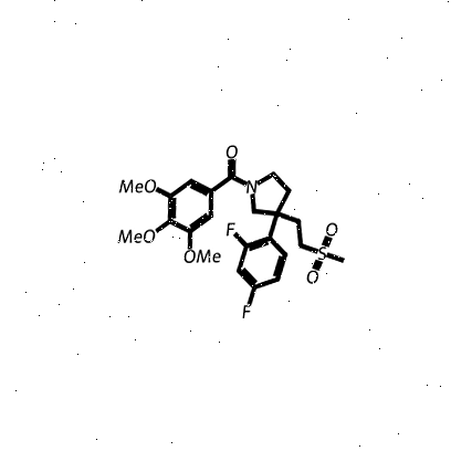 COc1cc(C(=O)N2CCC(CCS(C)(=O)=O)(c3ccc(F)cc3F)C2)cc(OC)c1OC